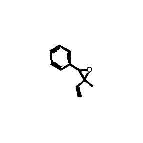 C=CC1(C)OC1c1ccccc1